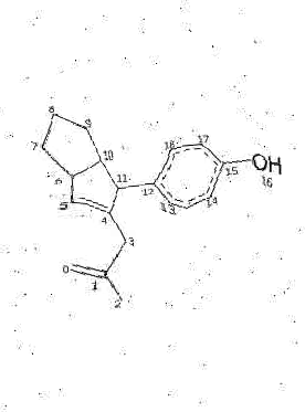 C=C(C)CC1=CC2CCCC2C1c1ccc(O)cc1